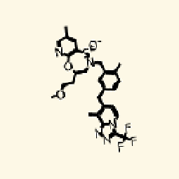 COCCC1CN(Cc2cc(Cc3ccn4c(C(F)(F)F)nnc4c3C)ccc2C)[S+]([O-])c2cc(C)cnc2O1